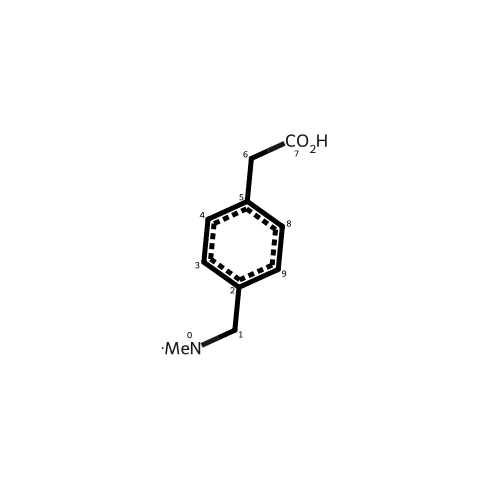 C[N]Cc1ccc(CC(=O)O)cc1